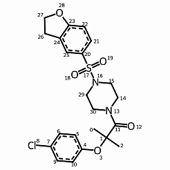 CC(C)(Oc1ccc(Cl)cc1)C(=O)N1CCN(S(=O)(=O)c2ccc3c(c2)CCO3)CC1